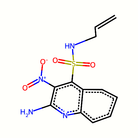 C=CCNS(=O)(=O)c1c([N+](=O)[O-])c(N)nc2ccccc12